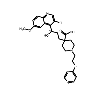 COc1ccc2ncc(Cl)c([C@H](O)CCC3(C(=O)O)CCN(CCSc4ccncc4)CC3)c2c1